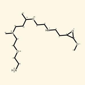 COC1OC1CCNCCOC(C)CCN(C)CCOCCN